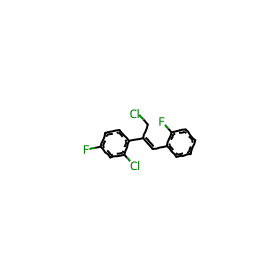 Fc1ccc(C(=Cc2ccccc2F)CCl)c(Cl)c1